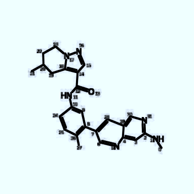 CNc1cc2ncc(-c3cc(NC(=O)c4cnn5c4CC(C)CC5)ccc3C)cc2cn1